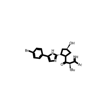 CC(=O)C(=N)[C@H](C(=O)C1C[C@H](O)C[C@H]1c1ncc(-c2ccc(Br)cc2)[nH]1)C(C)(C)C